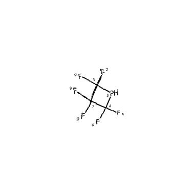 FC1(F)PC(F)(F)C1(F)F